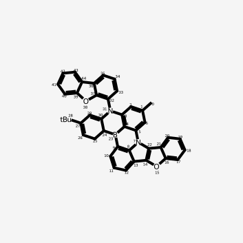 Cc1cc2c3c(c1)-n1c4c(cccc4c4oc5ccccc5c41)B3C1CC=C(C(C)(C)C)C=C1N2c1cccc2c1oc1ccccc12